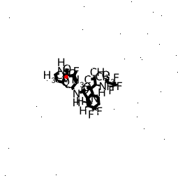 CC(C)(C)[C@@H](NC(=O)C(F)(F)F)C(=O)N1[C@@H]2CC[C@H]([C@@H]1C(=O)N[C@H](/C=C(/F)S(C)(=O)=O)C[C@H]1CCNC1=O)C(F)(F)C2